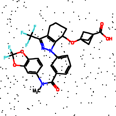 CN(C(=O)c1cccc(-n2nc(C(F)(F)F)c3c2C(OC24CC(C(=O)O)(C2)C4)CCC3)c1)c1ccc2c(c1)OC(F)(F)O2